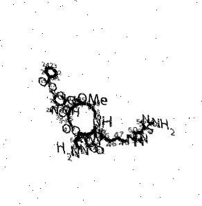 CC[C@H]1OC(=O)[C@H](C)C(=O)[C@H](C)[C@@H](O[C@@H]2O[C@H](COC(=O)c3ccccc3)CC(N(C)C)C2O)[C@](C)(OC)C[C@@H](C)CN[C@H](C)[C@H]2N(CCCCn3cc(-c4cnc(N)s4)nn3)C(=O)O[C@]12n1ccc(N)nc1=O